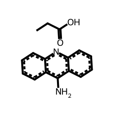 CCC(=O)O.Nc1c2ccccc2nc2ccccc12